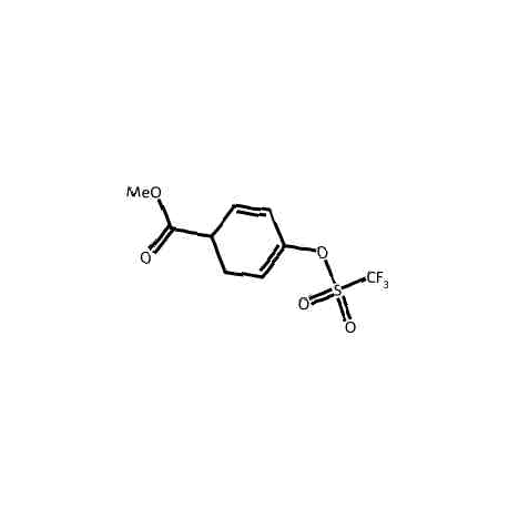 COC(=O)C1C=CC(OS(=O)(=O)C(F)(F)F)=CC1